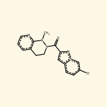 CN1c2ncccc2CCN1C(=O)c1cc2ccc(Cl)cn2n1